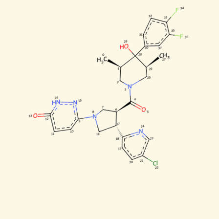 C[C@@H]1CN(C(=O)[C@@H]2CN(c3ccc(=O)[nH]n3)C[C@H]2c2ccc(Cl)cn2)C[C@H](C)C1(O)c1ccc(F)c(F)c1